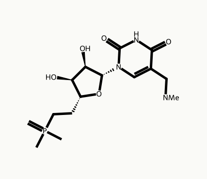 C=P(C)(C)CC[C@H]1O[C@@H](n2cc(CNC)c(=O)[nH]c2=O)[C@H](O)[C@@H]1O